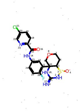 N=C1N[S+]([O-])C2CCOCC2(c2cc(NC(=O)c3ccc(Cl)cn3)ccc2F)N1